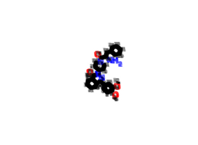 COc1ccc(C2=NN(C3CCN(C(=O)[C@@H](N)CC4CCCCC4)CC3)C(=O)[C@@H]3CCCC[C@H]23)cc1OC